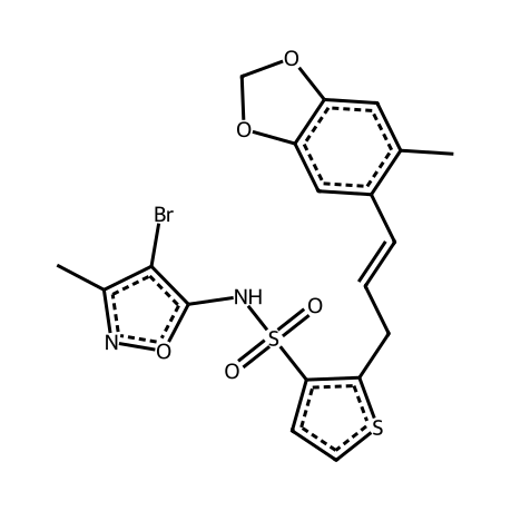 Cc1cc2c(cc1C=CCc1sccc1S(=O)(=O)Nc1onc(C)c1Br)OCO2